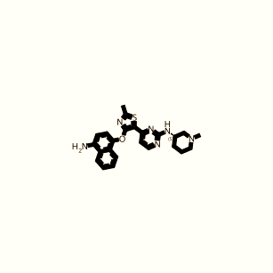 Cc1nc(Oc2ccc(N)c3ccccc23)c(-c2ccnc(N[C@H]3CCCN(C)C3)n2)s1